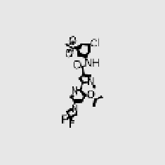 CC(C)Oc1cc(N2CC(F)(F)C2)cnc1-c1cc(C(=O)Nc2cc(Cl)cc(S(C)(=O)=O)c2)cn1C